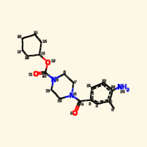 Cc1cc(C(=O)N2CCN(C(=O)OC3CCCCC3)CC2)ccc1N